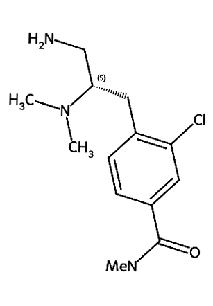 CNC(=O)c1ccc(C[C@@H](CN)N(C)C)c(Cl)c1